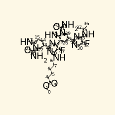 COC(=O)CCCCCNc1nc(-c2ccc(=N)n(C(N)=O)c2)nc(-c2cc(-c3ncc(F)c(NC(C)C)n3)cn(C(N)=O)c2=N)c1F